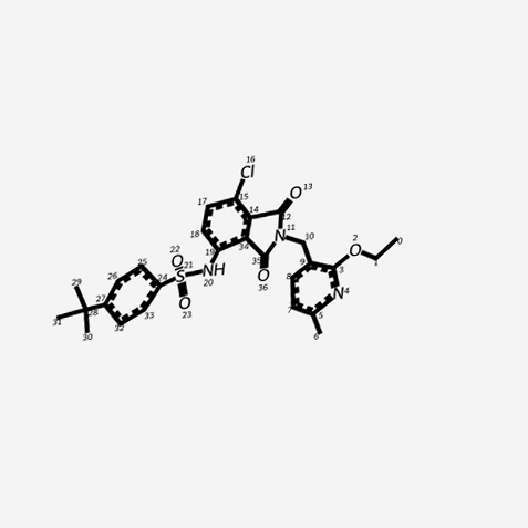 CCOc1nc(C)ccc1CN1C(=O)c2c(Cl)ccc(NS(=O)(=O)c3ccc(C(C)(C)C)cc3)c2C1=O